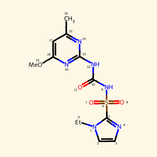 CCn1ccnc1S(=O)(=O)NC(=O)Nc1nc(C)cc(OC)n1